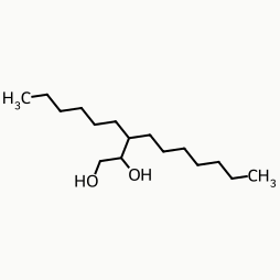 CCCCCCCC(CCCCCC)C(O)CO